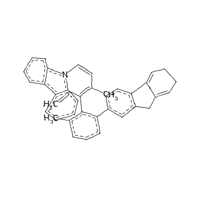 C=C/C(=C(C)\C=C/n1c2ccccc2c2ccccc21)c1c(C)cccc1-c1ccc2c(c1)CC1=CCCC=C12